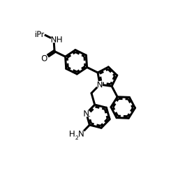 CC(C)NC(=O)c1ccc(-c2ccc(-c3ccccc3)n2Cc2cccc(N)n2)cc1